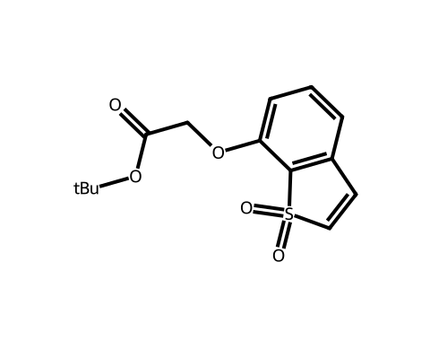 CC(C)(C)OC(=O)COc1cccc2c1S(=O)(=O)C=C2